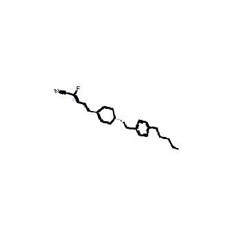 CCCCCc1ccc(CC[C@H]2CC[C@H](CC/C=C(\F)C#N)CC2)cc1